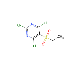 CCS(=O)(=O)c1c(Cl)nc(Cl)nc1Cl